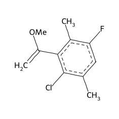 C=C(OC)c1c(C)c(F)cc(C)c1Cl